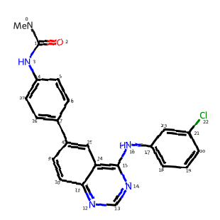 CNC(=O)Nc1ccc(-c2ccc3ncnc(Nc4cccc(Cl)c4)c3c2)cc1